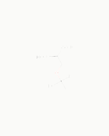 CCC(C)(CC)OCC(C(=O)O)C(=O)O